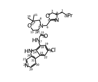 CC(C)C[C@@H]1COC(CN2CC(C)(C)OC[C@H]2C(=O)Nc2cc(Cl)cc3c2[nH]c2cnccc23)=N1